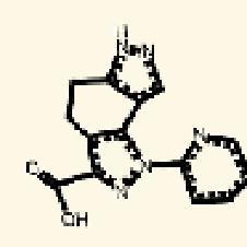 O=C(O)c1nn(-c2ccccn2)c2c1CCc1[nH]ncc1-2